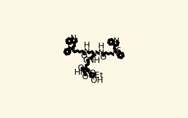 CC[C@H]1O[C@@H](n2cc(/C=C/C(=O)NCCN(CCNC(=O)CCCCN3/C(=C/c4ccnc5ccccc45)Sc4ccccc43)CCNC(=O)CCCCN3/C(=C/c4ccnc5ccccc45)Sc4ccccc43)c(=O)[nH]c2=O)C[C@H]1O